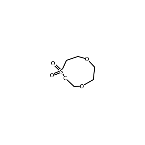 O=S1(=O)CCOCCOCC1